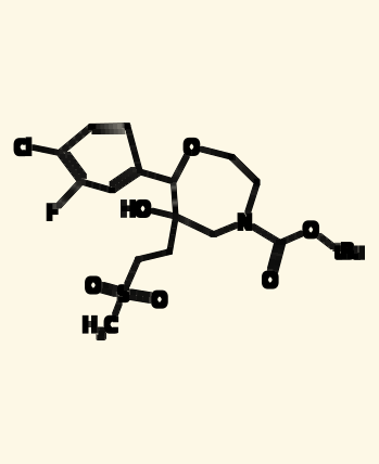 CC(C)(C)OC(=O)N1CCOC(c2ccc(Cl)c(F)c2)C(O)(CCS(C)(=O)=O)C1